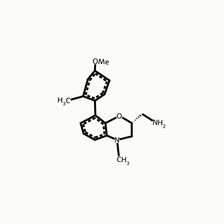 COc1ccc(-c2cccc3c2O[C@H](CN)CN3C)c(C)c1